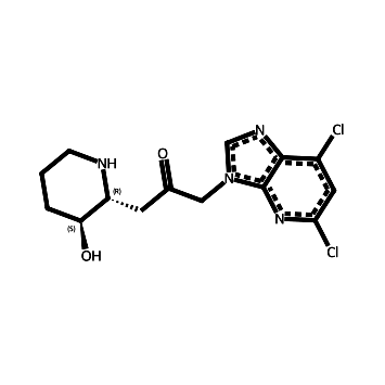 O=C(C[C@H]1NCCC[C@@H]1O)Cn1cnc2c(Cl)cc(Cl)nc21